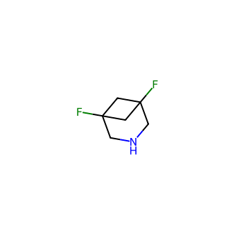 FC12CNCC(F)(C1)C2